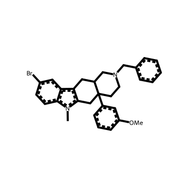 COc1cccc(C23CCN(Cc4ccccc4)CC2Cc2c(n(C)c4ccc(Br)cc24)C3)c1